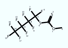 COC(=S)SC(F)(F)C(F)(F)C(F)(F)C(F)(F)F